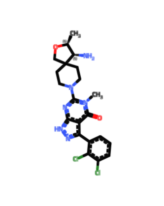 C[C@@H]1OCC2(CCN(c3nc4[nH]nc(-c5cccc(Cl)c5Cl)c4c(=O)n3C)CC2)[C@@H]1N